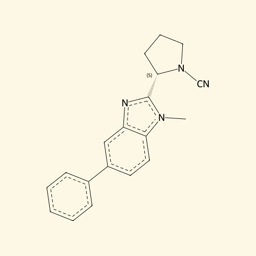 Cn1c([C@@H]2CCCN2C#N)nc2cc(-c3ccccc3)ccc21